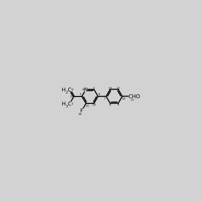 C=C(C)c1ncc(-c2ccc(C=O)cc2)cc1F